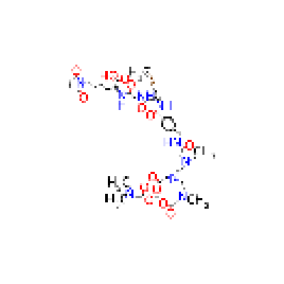 CCN(C)CC(=O)OC1OC(=O)CN(C)CCN(CCN(CC)CC(=O)NCc2ccc(C(=O)N[C@@H](CCSC)C(=O)NCC(=O)N[C@@H](CCCCN3C(=O)C=CC3=O)C(=O)O)cc2)CC(=O)O1